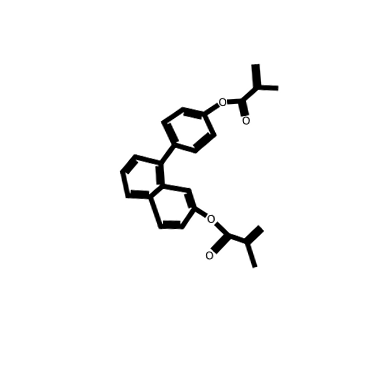 C=C(C)C(=O)Oc1ccc(-c2cccc3ccc(OC(=O)C(=C)C)cc23)cc1